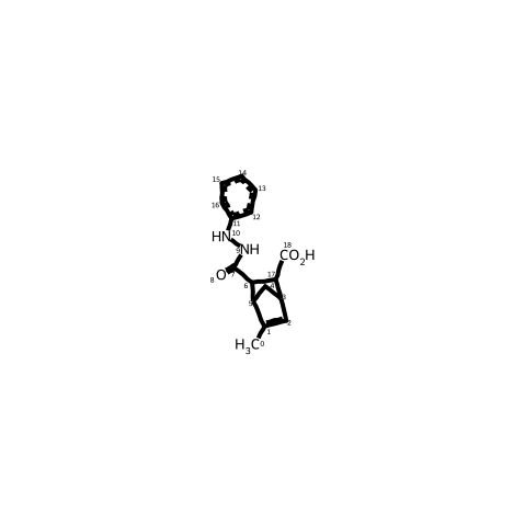 CC1=CC2CC1C(C(=O)NNc1ccccc1)C2C(=O)O